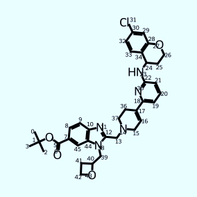 CC(C)(C)OC(=O)c1ccc2nc(CN3CC=C(c4cccc(NC5CCOc6cc(Cl)ccc65)n4)CC3)n(CC3CCO3)c2c1